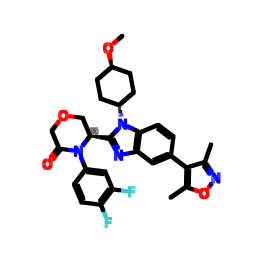 CO[C@H]1CC[C@H](n2c([C@@H]3COCC(=O)N3c3ccc(F)c(F)c3)nc3cc(-c4c(C)noc4C)ccc32)CC1